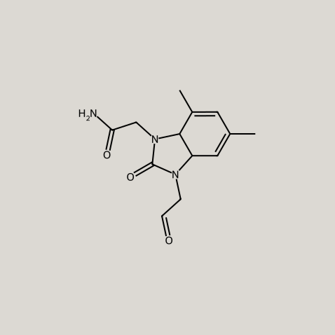 CC1=CC2C(C(C)=C1)N(CC(N)=O)C(=O)N2CC=O